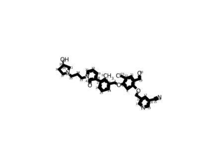 Cc1c(COc2cc(OCc3cncc(C#N)c3)c(C=O)cc2Cl)cccc1-c1cccn(CCCN2CC[C@@H](O)C2)c1=O